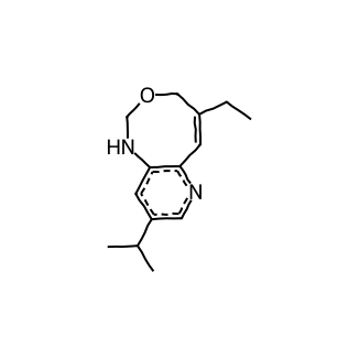 CC/C1=C/c2ncc(C(C)C)cc2NCOC1